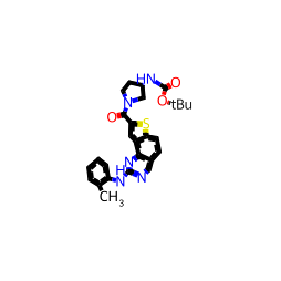 Cc1ccccc1Nc1ncc2ccc3sc(C(=O)N4CCC(NC(=O)OC(C)(C)C)C4)cc3c2n1